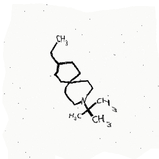 CCC1CCC2(CC1)CCN(C(C)(C)C)CC2